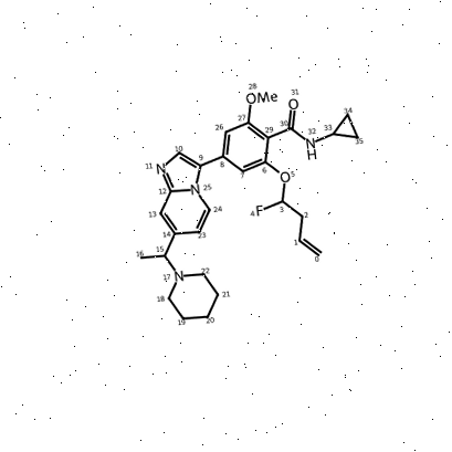 C=CCC(F)Oc1cc(-c2cnc3cc(C(C)N4CCCCC4)ccn23)cc(OC)c1C(=O)NC1CC1